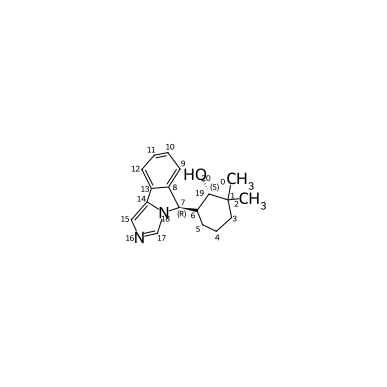 CC1(C)CCCC([C@@H]2c3ccccc3-c3cncn32)[C@@H]1O